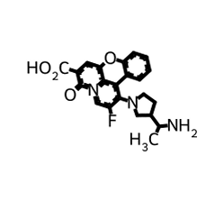 CC(N)C1CCN(c2c(F)cn3c(=O)c(C(=O)O)cc4c3c2-c2ccccc2O4)C1